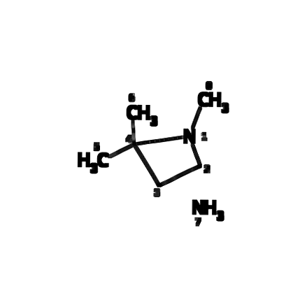 CN1CCC1(C)C.N